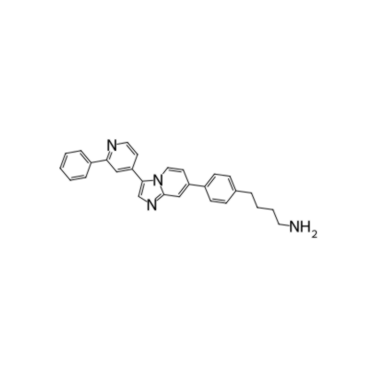 NCCCCc1ccc(-c2ccn3c(-c4ccnc(-c5ccccc5)c4)cnc3c2)cc1